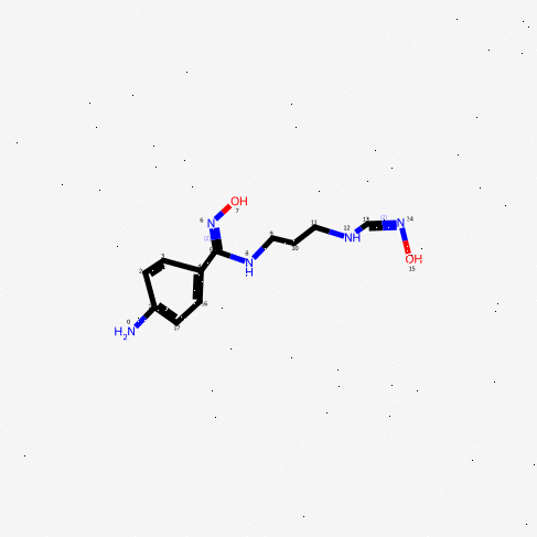 Nc1ccc(/C(=N/O)NCCCN/C=N\O)cc1